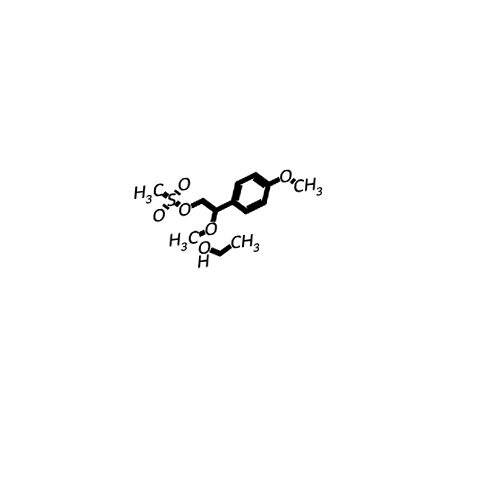 CCO.COc1ccc(C(COS(C)(=O)=O)OC)cc1